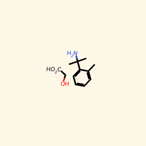 Cc1ccccc1C(C)(C)N.O=C(O)CO